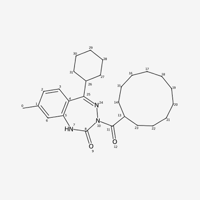 Cc1ccc2c(c1)NC(=O)N(C(=O)C1CCCCCCCCCC1)N=C2C1CCCCC1